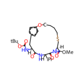 COC(=O)[C@@H]1CSCCCCOc2ccc(cc2)C[C@H](NC(=O)OC(C)(C)C)C(=O)N[C@@H](C(C)C)C(=O)N1